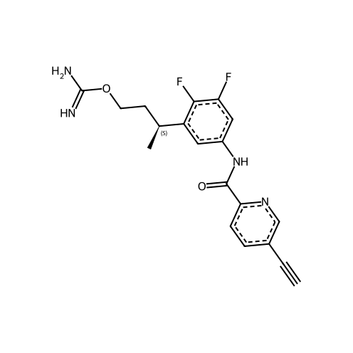 C#Cc1ccc(C(=O)Nc2cc(F)c(F)c([C@@H](C)CCOC(=N)N)c2)nc1